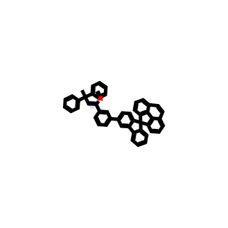 C=N/C(=C\C(C)(c1ccccc1)c1ccccc1)c1cccc(-c2ccc3c(c2)-c2ccccc2C32c3cccc4ccc5cccc2c5c34)c1